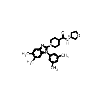 Cc1cc(C)cc(-n2c(N3CCC(C(=O)N[C@@H]4CCOC4)CC3)nc3cc(C)c(C)cc32)c1